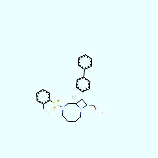 Cc1ccccc1S(=O)(=O)N1CCCCN2[C@H](CO)[C@@H](c3ccc(-c4ccccc4)cc3)[C@@H]2C1